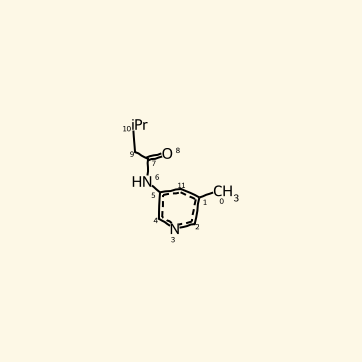 Cc1cncc(NC(=O)CC(C)C)c1